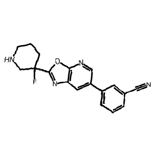 N#Cc1cccc(-c2cnc3oc(C4(F)CCCNC4)nc3c2)c1